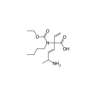 C=CC(C=CC(C)N)(C(=O)O)N(CCCC)C(=O)OCC